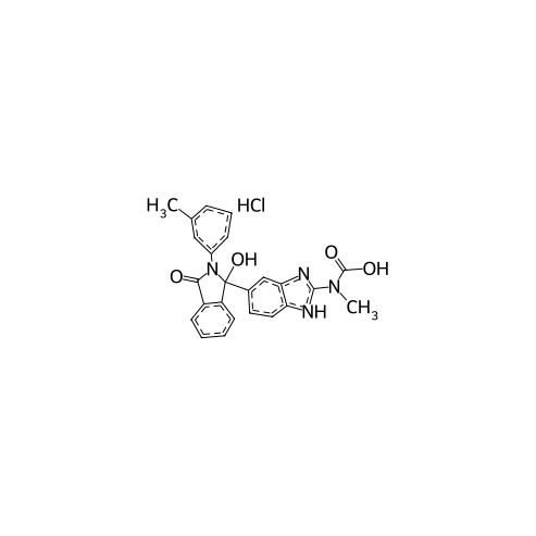 Cc1cccc(N2C(=O)c3ccccc3C2(O)c2ccc3[nH]c(N(C)C(=O)O)nc3c2)c1.Cl